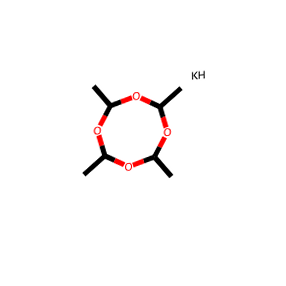 CC1OC(C)OC(C)OC(C)O1.[KH]